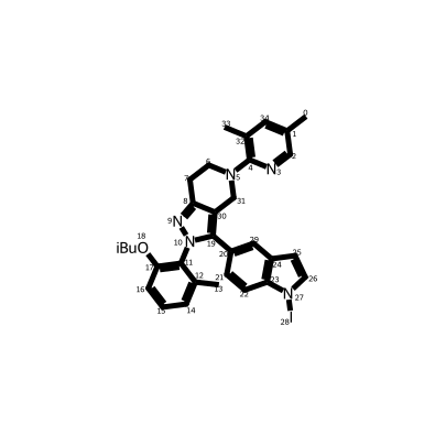 Cc1cnc(N2CCc3nn(-c4c(C)cccc4OCC(C)C)c(-c4ccc5c(ccn5I)c4)c3C2)c(C)c1